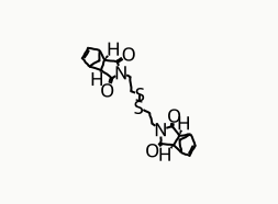 O=C1[C@@H]2C3C=CC(C3)[C@@H]2C(=O)N1CCSSCCN1C(=O)[C@@H]2C3C=CC(C3)[C@@H]2C1=O